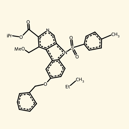 CCC.COCc1c(C(=O)OC(C)C)ncc2c1c1cc(OCc3ccccc3)ccc1n2S(=O)(=O)c1ccc(C)cc1